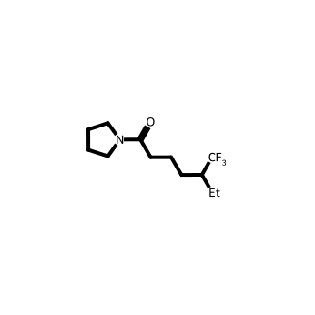 CCC(CCCC(=O)N1CCCC1)C(F)(F)F